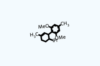 COc1cc(C)cc(OC)c1C1C=C(C)CCC1C(C)C